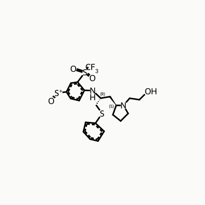 O=[S+]c1ccc(N[C@@H](CSc2ccccc2)C[C@@H]2CCCN2CCO)c(S(=O)(=O)C(F)(F)F)c1